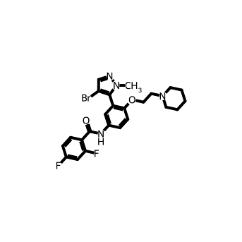 Cn1ncc(Br)c1-c1cc(NC(=O)c2ccc(F)cc2F)ccc1OCCN1CCCCC1